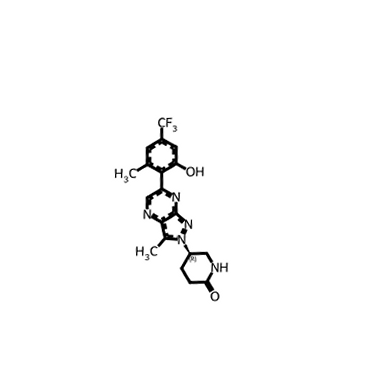 Cc1cc(C(F)(F)F)cc(O)c1-c1cnc2c(C)n([C@@H]3CCC(=O)NC3)nc2n1